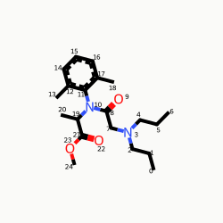 CCCN(CCC)CC(=O)N(c1c(C)cccc1C)C(C)C(=O)OC